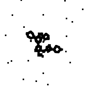 C[C@@H]1COCCN1c1cc(-c2cnc(N)c(Oc3cnn(C4CCN(C)CC4)c3)n2)cc([C@@]2(O)CCO[C@@H]2C)c1